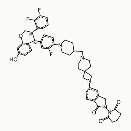 O=C1c2ccc(N3CC4(CCN(CC5CCN(c6ccc([C@H]7c8ccc(O)cc8OC[C@H]7c7cccc(F)c7F)cc6F)CC5)CC4)C3)cc2CN1N1C(=O)CCCC1=O